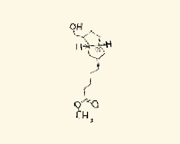 COC(=O)CCCC=C1C[C@H]2CCC(CO)[C@H]2C1